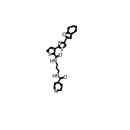 O=C(NCCCNC(=O)c1sccc1-c1nc(-c2cc3ccccc3o2)cs1)c1ccncc1